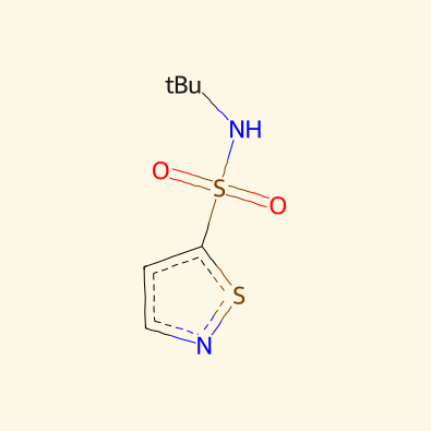 CC(C)(C)NS(=O)(=O)c1ccns1